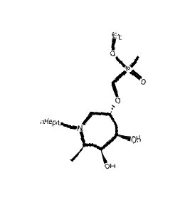 CCCCCCCN1C[C@H](OCP(C)(=O)OCC)[C@@H](O)[C@@H](O)[C@H]1C